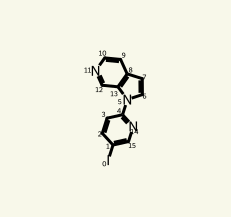 Ic1ccc(-n2ccc3ccncc32)nc1